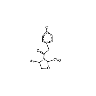 CC(C)C1COC(C=O)N1C(=O)Cc1ccc(Cl)cc1